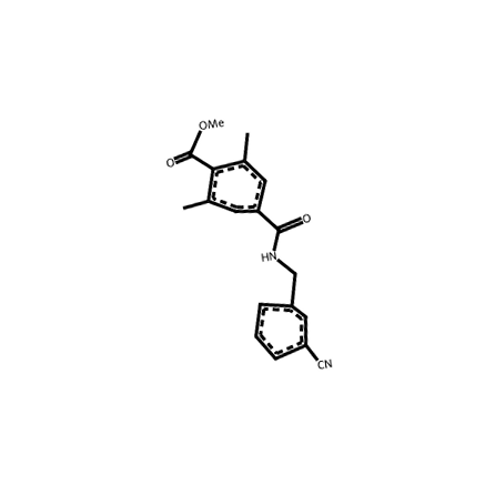 COC(=O)c1c(C)cc(C(=O)NCc2cccc(C#N)c2)cc1C